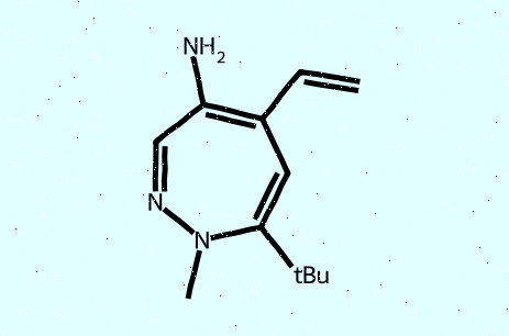 C=CC1=C(N)C=NN(C)C(C(C)(C)C)=C1